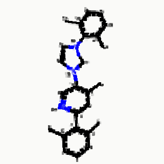 Cc1cc(-c2c(C)cccc2C)ncc1N1C=CN(c2c(C)cccc2C)C1